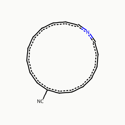 N#Cc1cccccccccnccccccc1